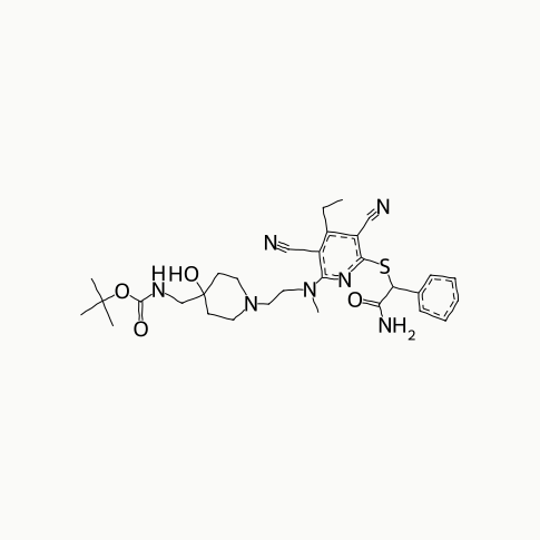 CCc1c(C#N)c(SC(C(N)=O)c2ccccc2)nc(N(C)CCN2CCC(O)(CNC(=O)OC(C)(C)C)CC2)c1C#N